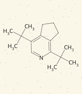 CC(C)(C)c1cnc(C(C)(C)C)c2c1CCC2